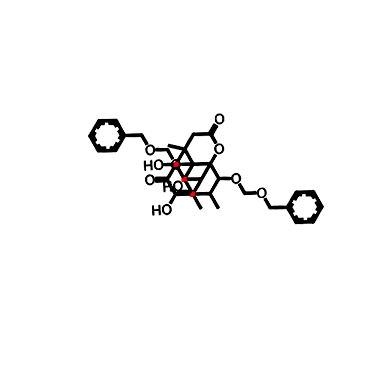 CC1=C(O)C(=O)C2(O)C(O)C1C13OC(=O)CC2(C)C1(OCOCc1ccccc1)CCC(C)C3OCOCc1ccccc1